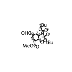 COC(=O)c1nc(C=O)cc(N(C(=O)OC(C)(C)C)C(=O)OC(C)(C)C)c1Cl